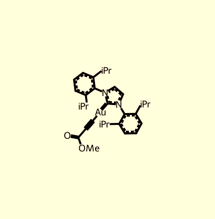 COC(=O)C#[C][Au]=[c]1n(-c2c(C(C)C)cccc2C(C)C)ccn1-c1c(C(C)C)cccc1C(C)C